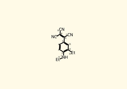 [CH2]CNc1ccc(C(C#N)=C(C#N)C#N)cc1CC